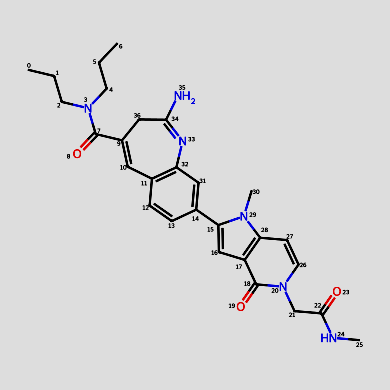 CCCN(CCC)C(=O)C1=Cc2ccc(-c3cc4c(=O)n(CC(=O)NC)ccc4n3C)cc2N=C(N)C1